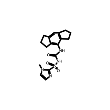 Cn1ccnc1S(=O)(=O)NC(=O)Nc1c2c(cc3c1CCC3)CCC2